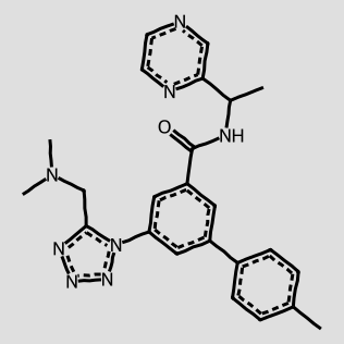 Cc1ccc(-c2cc(C(=O)NC(C)c3cnccn3)cc(-n3nnnc3CN(C)C)c2)cc1